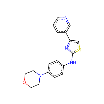 c1cncc(-c2csc(Nc3ccc(N4CCOCC4)cc3)n2)c1